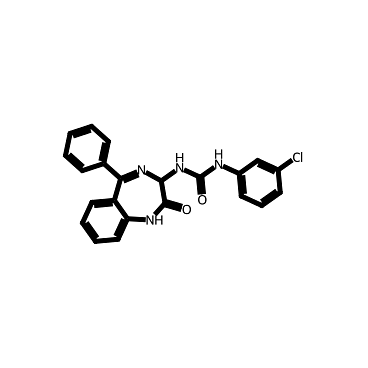 O=C(Nc1cccc(Cl)c1)NC1N=C(c2ccccc2)c2ccccc2NC1=O